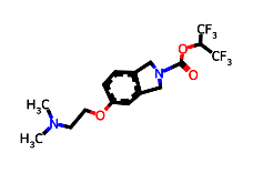 CN(C)CCOc1ccc2c(c1)CN(C(=O)OC(C(F)(F)F)C(F)(F)F)C2